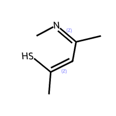 C/N=C(C)\C=C(\C)S